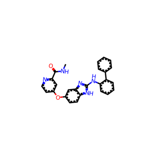 CNC(=O)c1cc(Oc2ccc3[nH]c(Nc4ccccc4-c4ccccc4)nc3c2)ccn1